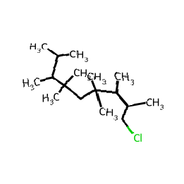 CC(C)C(C)C(C)(C)CC(C)(C)C(C)C(C)CCl